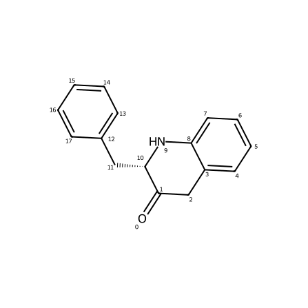 O=C1Cc2ccccc2N[C@H]1Cc1ccccc1